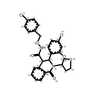 O=C(NOCc1ccc(Cl)cc1)C1c2ccccc2C(=O)N(C2CCOC2)C1c1ccc(Cl)cc1Cl